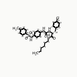 CCCCCCNC(=O)[C@@H](Cc1ccc(Cl)cc1)NC(=O)Nc1ccc(NS(=O)(=O)c2ccc(C)cc2)cc1